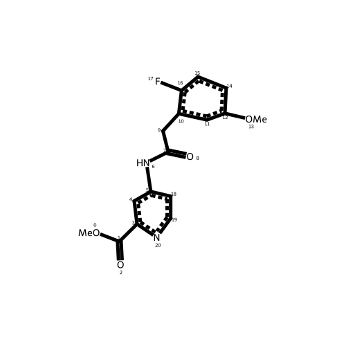 COC(=O)c1cc(NC(=O)Cc2cc(OC)ccc2F)ccn1